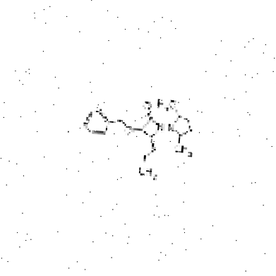 CCC[C@H]1[C@@H](OCc2ccccc2)C(=O)N1N1[C@H](C)CC[C@H]1C